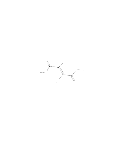 O=C(OF)C(F)=C(F)C(=O)OF